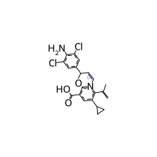 C=C(C)c1c(C2CC2)cc(C(=O)O)c(=O)n1/C=C\C(C)c1cc(Cl)c(N)c(Cl)c1